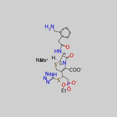 CCOP(=O)([O-])CC(Sc1nnn[nH]1)C1=C(C(=O)[O-])N2C(=O)[C@@H](NC(=O)Cc3ccccc3CN)[C@@H]2SC1.[Na+].[Na+]